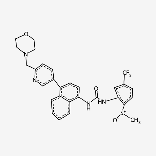 C[S+]([O-])c1ccc(C(F)(F)F)cc1NC(=O)Nc1ccc(-c2ccc(CN3CCOCC3)nc2)c2ccccc12